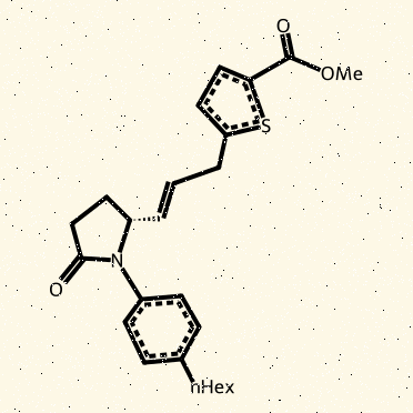 CCCCCCc1ccc(N2C(=O)CC[C@@H]2C=CCc2ccc(C(=O)OC)s2)cc1